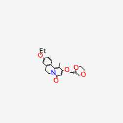 CCOc1ccc2c(c1)CCn1c-2c(C)c(OC[C@@H]2COCCO2)cc1=O